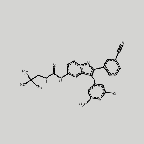 Cc1cc(-c2c(-c3cccc(C#N)c3)nn3ccc(NC(=O)NCC(C)(C)O)nc23)cc(Cl)n1